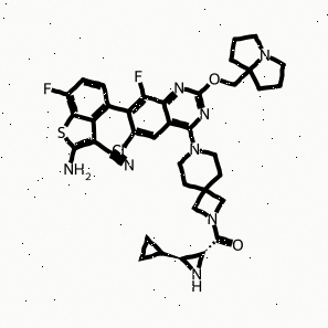 N#Cc1c(N)sc2c(F)ccc(-c3c(Cl)cc4c(N5CCC6(CC5)CN(C(=O)[C@@H]5N[C@H]5C5CC5)C6)nc(OCC56CCCN5CCC6)nc4c3F)c12